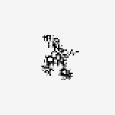 CC(=O)O[C@H]1CN(C(=O)OC(C)(C)C)[C@H](Cc2ccc(-c3cncs3)cc2)[C@@H]1OC(=O)NCc1cccc(F)c1